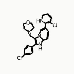 ClC1=C(C2=CN3C(CN4CCOCC4)=C(c4ccc(Cl)cc4)NC3C=C2)NCC=C1